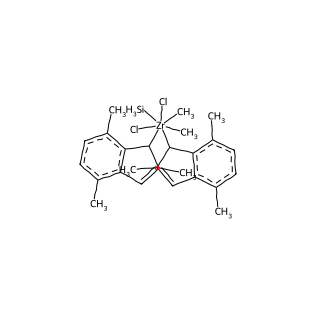 CC1=Cc2c(C)ccc(C)c2[CH]1[Zr]([CH3])([CH3])([SiH3])([Cl])([Cl])[CH]1C(C)=Cc2c(C)ccc(C)c21